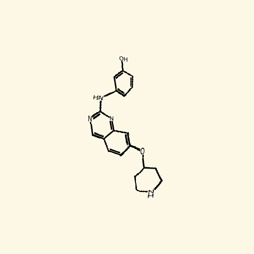 Oc1cccc(Nc2ncc3ccc(OC4CCNCC4)cc3n2)c1